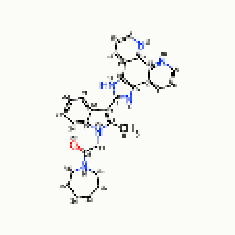 Cc1c(-c2nc3c4cccnc4c4ncccc4c3[nH]2)c2ccccc2n1CC(=O)N1CCCCCC1